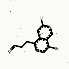 O=CCCc1ccc(Br)c2cnc(Cl)cc12